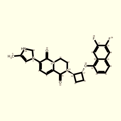 CC1=CN(c2ccc3n(c2=O)CCN([C@@H]2CC[C@H]2Oc2cccc4cc(F)c(F)cc24)C3=O)CN1